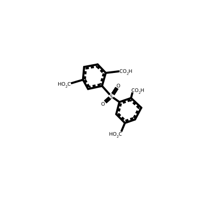 O=C(O)c1ccc(C(=O)O)c(S(=O)(=O)c2cc(C(=O)O)ccc2C(=O)O)c1